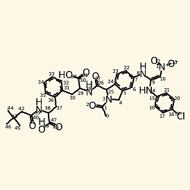 CC(=O)N1Cc2cc(N/C(=C\[N+](=O)[O-])Nc3ccc(Cl)cc3)ccc2C1C(=O)NC(Cc1ccccc1CC(NC(=O)CC(C)(C)C)C(=O)O)C(=O)O